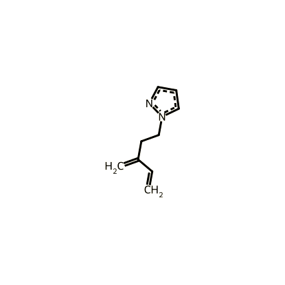 C=CC(=C)CCn1cccn1